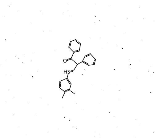 Cc1ccc([SH]=CC(C(=O)c2ccccc2)c2ccccc2)cc1C